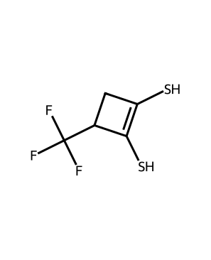 FC(F)(F)C1CC(S)=C1S